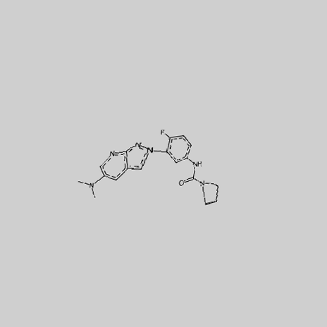 CN(C)c1cnc2nn(-c3cc(NC(=O)N4CCC4)ccc3F)cc2c1